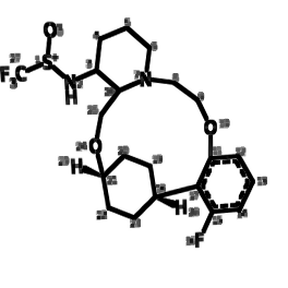 [O-][S+](NC1CCCN2CCOc3cccc(F)c3[C@H]3CC[C@H](CC3)OCC12)C(F)(F)F